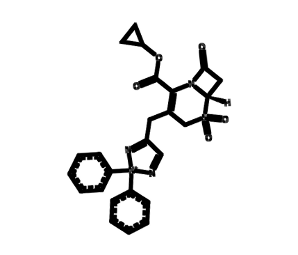 O=C(OC1CC1)C1=C(CC2=N[N+](c3ccccc3)(c3ccccc3)N=C2)CS(=O)(=O)[C@H]2CC(=O)N12